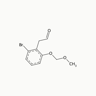 COCOc1cccc(Br)c1CC=O